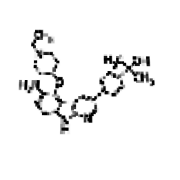 CCN1CCC(Oc2c(N)ncc3[nH]c4ncc(-c5ccc(C(C)(C)O)cc5)cc4c23)CC1